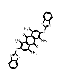 Nc1cc(Sc2nc3ccccc3s2)c(N)c2c1C(=O)c1c(N)c(Sc3nc4ccccc4s3)cc(N)c1C2=O